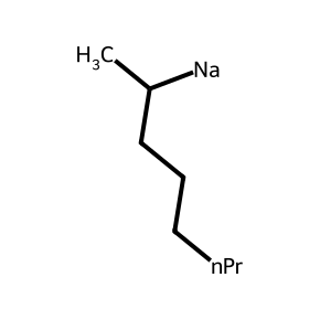 CCCCCC[CH](C)[Na]